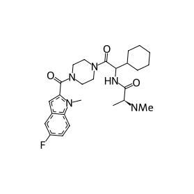 CN[C@@H](C)C(=O)NC(C(=O)N1CCN(C(=O)c2cc3cc(F)ccc3n2C)CC1)C1CCCCC1